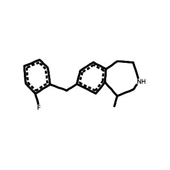 CC1CNCCc2ccc(Cc3ccccc3F)cc21